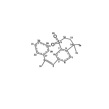 CC(=Cc1ccc2c(c1)S(=O)(=O)CCC2(C)C)c1ccccc1